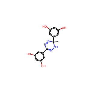 CC1(c2cc(O)cc(O)c2)N=NC(c2cc(O)cc(O)c2)=NN1